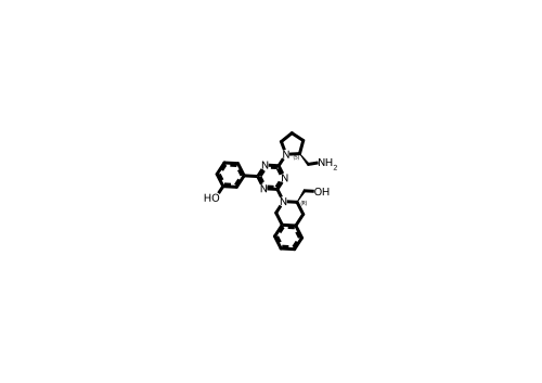 NC[C@@H]1CCCN1c1nc(-c2cccc(O)c2)nc(N2Cc3ccccc3C[C@@H]2CO)n1